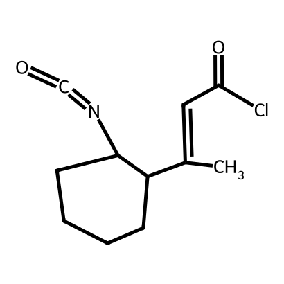 CC(=CC(=O)Cl)C1CCCCC1N=C=O